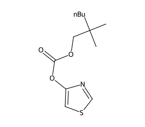 CCCCC(C)(C)COC(=O)Oc1cscn1